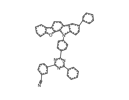 N#Cc1cccc(-c2nc(-c3ccccc3)nc(-c3ccc(-n4c5ccc(-c6ccccc6)cc5c5ccc6c7ccccc7oc6c54)cc3)n2)c1